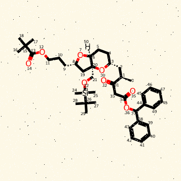 C[C@H](C[C@H]1CC[C@@H]2O[C@@H](CCCOC(=O)C(C)(C)C)C[C@]2(CO[Si](C)(C)C(C)(C)C)O1)C(=O)CC(=O)OC(c1ccccc1)c1ccccc1